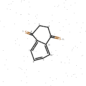 S=C1[C]CC(=S)c2ccccc21